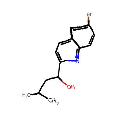 CC(C)CC(O)c1ccc2cc(Br)ccc2n1